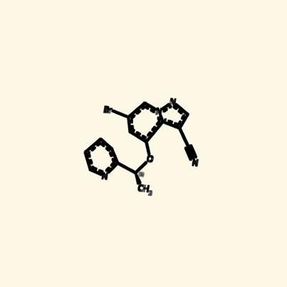 C[C@H](Oc1cc(Br)cn2ncc(C#N)c12)c1ccccn1